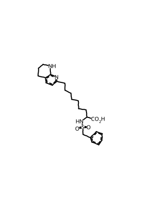 O=C(O)C(CCCCCCCc1ccc2c(n1)NCCC2)NS(=O)(=O)Cc1ccccc1